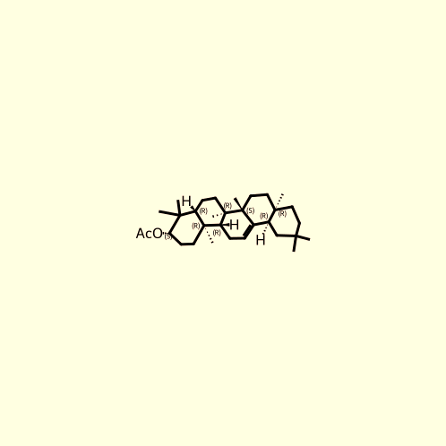 CC(=O)O[C@H]1CC[C@]2(C)[C@H]3CC=C4[C@@H]5CC(C)(C)CC[C@]5(C)CC[C@@]4(C)[C@]3(C)CC[C@H]2C1(C)C